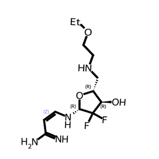 CCOCCNC[C@H]1O[C@@H](N/C=C\C(=N)N)C(F)(F)[C@@H]1O